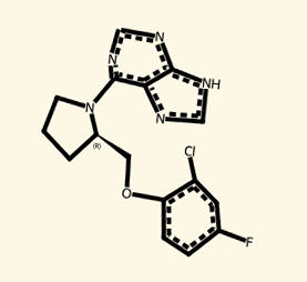 Fc1ccc(OC[C@H]2CCCN2c2ncnc3[nH]cnc23)c(Cl)c1